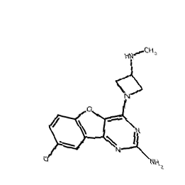 CNC1CN(c2nc(N)nc3c2oc2ccc(Cl)cc23)C1